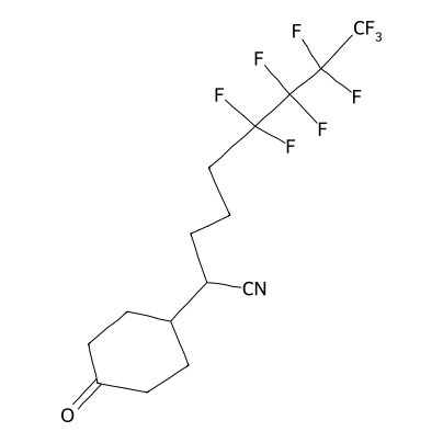 N#CC(CCCC(F)(F)C(F)(F)C(F)(F)C(F)(F)F)C1CCC(=O)CC1